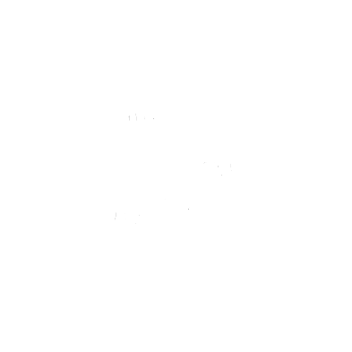 CCCCCCC=C(C=C(C)C(=O)O)C(=O)O